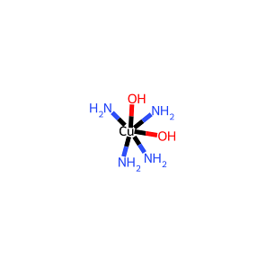 [NH2][Cu]([NH2])([NH2])([NH2])([OH])[OH]